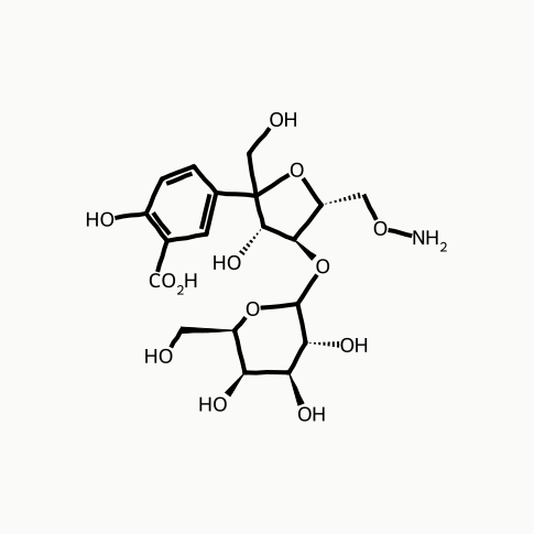 NOC[C@H]1OC(CO)(c2ccc(O)c(C(=O)O)c2)[C@@H](O)[C@@H]1OC1O[C@H](CO)[C@H](O)[C@H](O)[C@H]1O